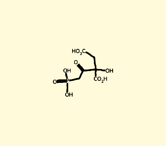 O=C(O)CC(O)(C(=O)O)C(=O)CP(=O)(O)O